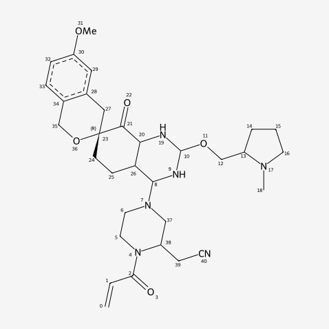 C=CC(=O)N1CCN(C2NC(OCC3CCCN3C)NC3C(=O)[C@@]4(CCC32)Cc2cc(OC)ccc2CO4)CC1CC#N